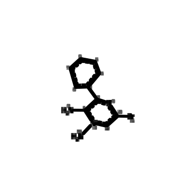 Nc1c(-c2ccccc2)nc(Br)c[n+]1N